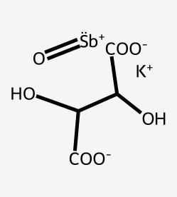 O=C([O-])C(O)C(O)C(=O)[O-].[K+].[O]=[Sb+]